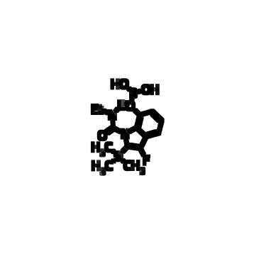 CCN(CC)C(=O)n1c([Si](C)(C)C)c(F)c2cccc(OB(O)O)c21